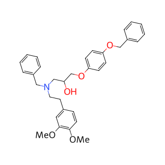 COc1ccc(CCN(Cc2ccccc2)CC(O)COc2ccc(OCc3ccccc3)cc2)cc1OC